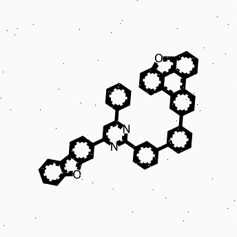 c1ccc(-c2cc(-c3ccc4c(c3)oc3ccccc34)nc(-c3cccc(-c4cccc(-c5ccc6c(c5)c5cccc7oc8cccc6c8c75)c4)c3)n2)cc1